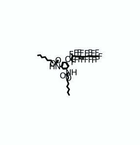 CCCCCCOC(=O)Nc1cc(NC(=O)OCCCCCC)cc(OC(F)=C(F)C(F)(F)C(F)(F)C(F)(F)C(F)(F)C(F)(F)C(F)(F)C(F)(F)F)c1